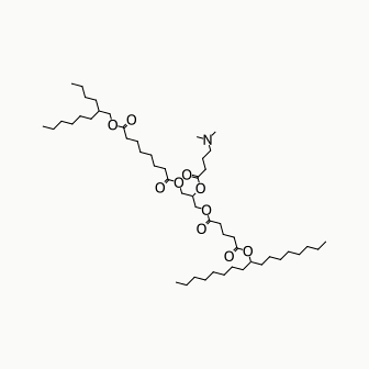 CCCCCCCCC(CCCCCCCC)OC(=O)CCCC(=O)OCC(COC(=O)CCCCCCC(=O)OCC(CCCC)CCCCCC)OC(=O)CCCN(C)C